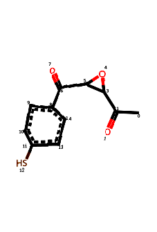 CC(=O)C1OC1C(=O)c1ccc(S)cc1